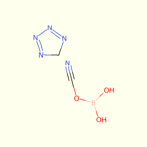 C1N=NN=N1.N#COB(O)O